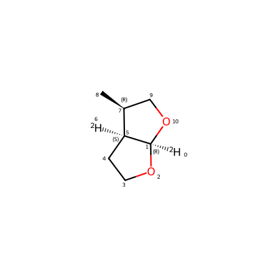 [2H][C@]12OCC[C@@]1([2H])[C@@H](C)CO2